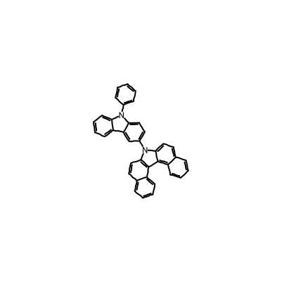 c1ccc(-n2c3ccccc3c3cc(-n4c5ccc6ccccc6c5c5c6ccccc6ccc54)ccc32)cc1